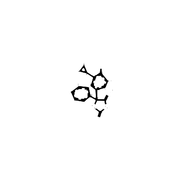 O=C1NC(=O)C(c2ccccc2)(c2ccc(F)c(C3CC3)c2)N1